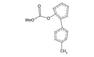 COC(=O)Oc1ccccc1-c1ccc(C)cc1